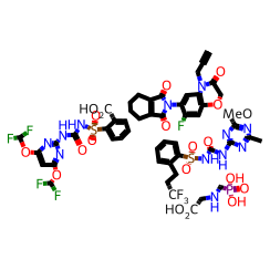 C#CCN1C(=O)COc2cc(F)c(N3C(=O)C4=C(CCCC4)C3=O)cc21.COc1nc(C)nc(NC(=O)NS(=O)(=O)c2ccccc2CCC(F)(F)F)n1.O=C(Nc1nc(OC(F)F)cc(OC(F)F)n1)NS(=O)(=O)c1ccccc1C(=O)O.O=C(O)CNCP(=O)(O)O